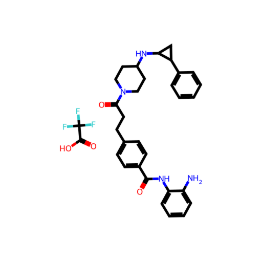 Nc1ccccc1NC(=O)c1ccc(CCC(=O)N2CCC(NC3CC3c3ccccc3)CC2)cc1.O=C(O)C(F)(F)F